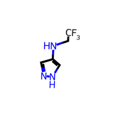 FC(F)(F)CNc1cn[nH]c1